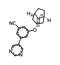 N#Cc1cc(O[C@@H]2C[C@H]3CC[C@@H](C2)N3)cc(-c2cncnc2)c1